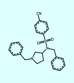 N#Cc1ccc(S(=O)(=O)N(Cc2ccccc2)C2CCN(Cc3ccccc3)C2)cc1